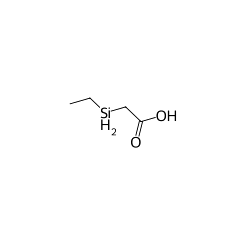 CC[SiH2]CC(=O)O